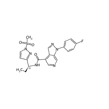 CC[C@H](NC(=O)c1cncc2c1cnn2-c1ccc(F)cc1)c1ccn(S(C)(=O)=O)n1